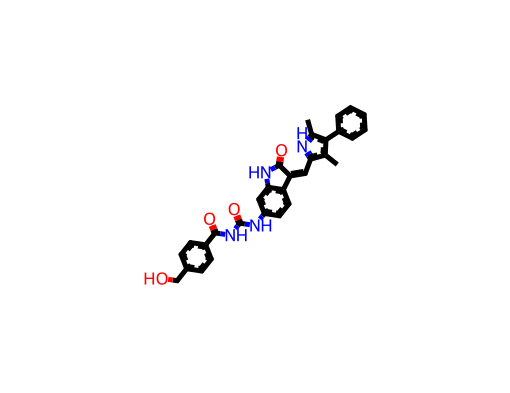 Cc1[nH]c(/C=C2\C(=O)Nc3cc(NC(=O)NC(=O)c4ccc(CO)cc4)ccc32)c(C)c1-c1ccccc1